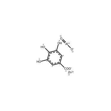 O=C([O-])c1cc(O)c(O)c(O)c1.[O]=[Al][O-].[Zn+2]